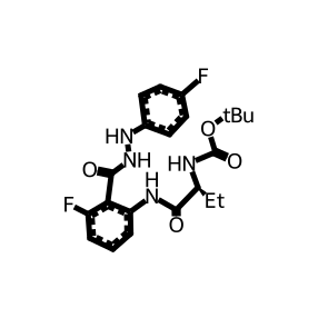 CC[C@H](NC(=O)OC(C)(C)C)C(=O)Nc1cccc(F)c1C(=O)NNc1ccc(F)cc1